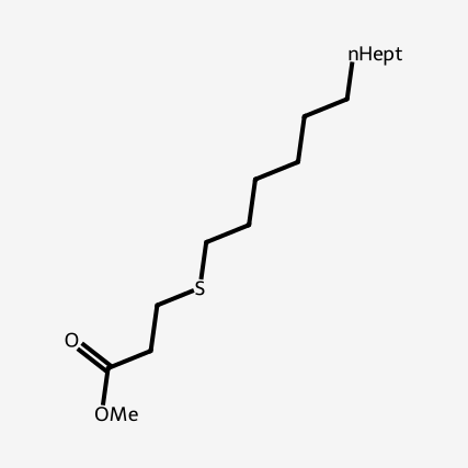 CCCCCCCCCCCCCSCCC(=O)OC